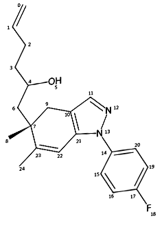 C=CCCC(O)C[C@]1(C)Cc2cnn(-c3ccc(F)cc3)c2C=C1C